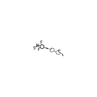 C=CC1CCC(C2CC=C(C#Cc3cc(F)c(N=C=S)c(F)c3)CC2)CC1